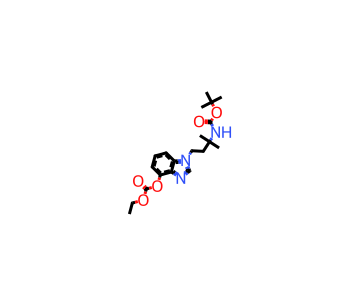 CCOC(=O)Oc1cccc2c1ncn2CCC(C)(C)NC(=O)OC(C)(C)C